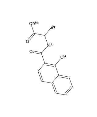 COC(=O)C(NC(=O)c1ccc2ccccc2c1O)C(C)C